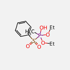 CCOP(C)(O)(OCC)S(=O)(=O)c1ccccc1